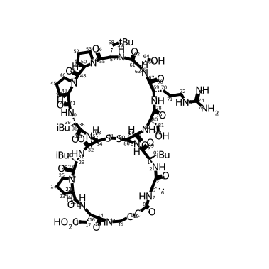 CC[C@H](C)[C@@H]1NC(=O)[C@H](C)NC(=O)CCCNC(=O)[C@H](CC(=O)O)NC(=O)[C@@H]2CCCN2C(=O)[C@H]([C@@H](C)CC)NC(=O)[C@H]2NC(=O)[C@H]([C@@H](C)CC)NC(=O)[C@@H]3CCCN3C(=O)[C@@H]3CCCN3C(=O)[C@H](CC(C)(C)C)NC(=O)[C@H](CO)NC(=O)[C@H](CCCNC(=N)N)NC(=O)[C@H](CO)NC(=O)[C@@H](NC1=O)SS2